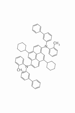 Cc1ccccc1N(c1cccc(-c2ccccc2)c1)c1ccc2c(C3CCCCC3)cc3c(N(c4cccc(-c5ccccc5)c4)c4ccccc4C)ccc4c(C5CCCCC5)cc1c2c43